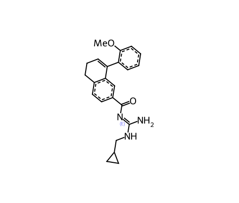 COc1ccccc1C1=CCCc2ccc(C(=O)/N=C(\N)NCC3CC3)cc21